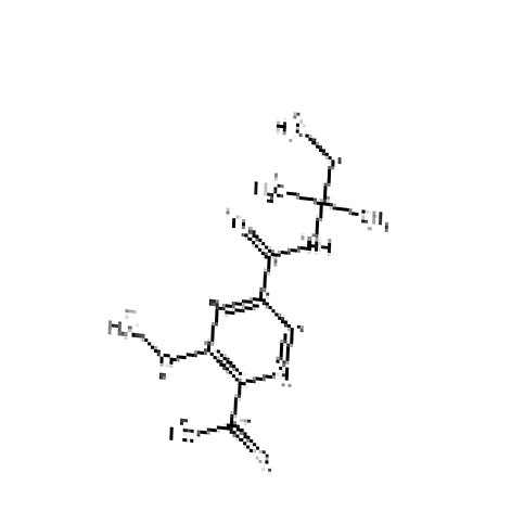 CCC(C)(C)NC(=O)c1cnc(C(=O)O)c(OC)c1